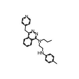 CCCN(CCNc1ccc(C)cc1)c1nnc(Cc2ccncc2)c2ccccc12